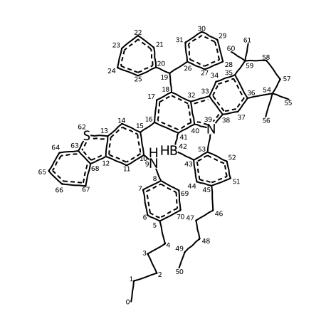 CCCCCc1ccc(Nc2cc3c(cc2-c2cc(C(c4ccccc4)c4ccccc4)c4c5cc6c(cc5n5c4c2Bc2cc(CCCCC)ccc2-5)C(C)(C)CCC6(C)C)sc2ccccc23)cc1